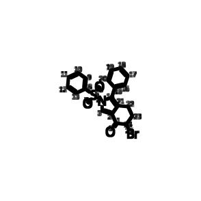 O=C1c2cn(S(=O)(=O)c3ccccc3)c(-c3ccccc3)c2CCC1Br